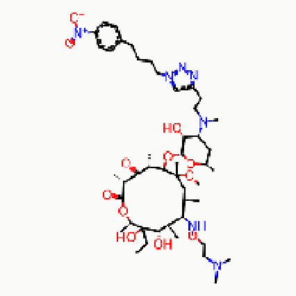 CCC1(O)[C@@H](C)OC(=O)[C@H](C)C(=O)[C@H](C)[C@@H](O[C@@H]2O[C@H](C)C[C@H](N(C)CCc3cn(CCCCc4ccc([N+](=O)[O-])cc4)nn3)[C@H]2O)[C@](C)(OC)C[C@@H](C)[C@@H](NOCCN(C)C)[C@@H](C)[C@@H]1O